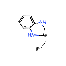 CC(C)C[C@H]1CNc2ccccc2N1